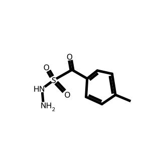 Cc1ccc(C(=O)S(=O)(=O)NN)cc1